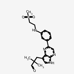 CC(C)(C=O)Cc1c[nH]c2ncc(-c3cccc(NCCS(C)(=O)=O)c3)nc12